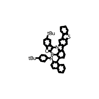 CC(C)(C)c1ccc(N2B3c4oc5ccc(C(C)(C)C)cc5c4-n4c5cc6c(cc5c5ccc(c3c54)-c3c2ccc2ccccc32)sc2ccccc26)cc1